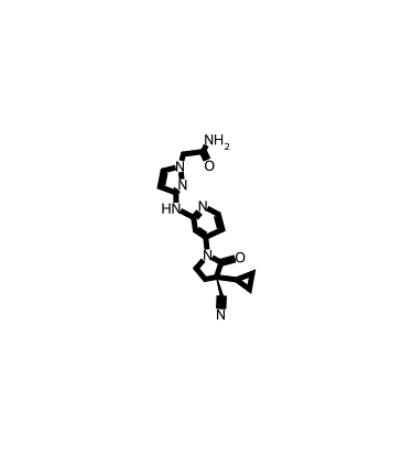 N#C[C@@]1(C2CC2)CCN(c2ccnc(Nc3ccn(CC(N)=O)n3)c2)C1=O